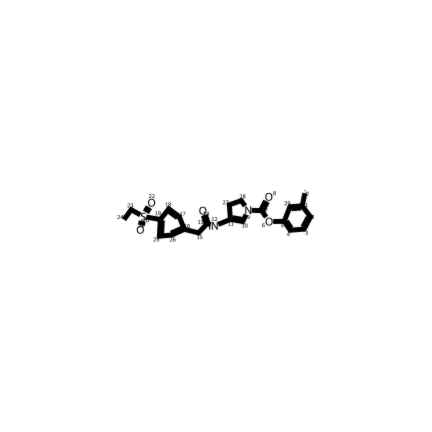 [CH2]c1cccc(OC(=O)N2C=C(NC(=O)Cc3ccc(S(=O)(=O)CC)cc3)CC2)c1